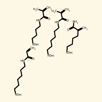 C=C(C)C(=O)NCCCCCCCCCCCCCC.C=C(C)C(=O)NCCCCCCCCCCCCCCCC.C=C(CCCCCCCCCCCCCC)C(N)=O.C=CC(=O)NCCCCCCCCCCCCCCCC